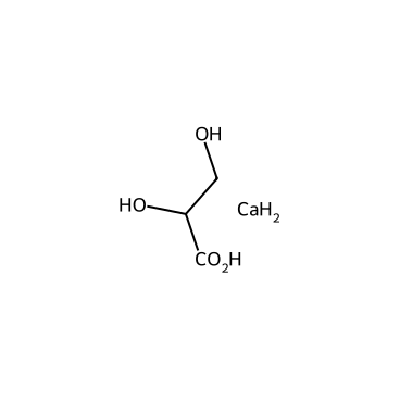 O=C(O)C(O)CO.[CaH2]